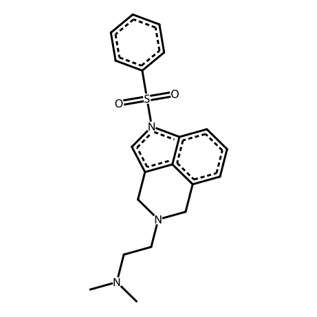 CN(C)CCN1Cc2cccc3c2c(cn3S(=O)(=O)c2ccccc2)C1